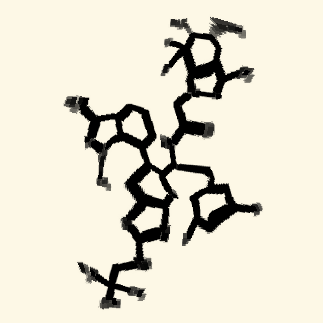 C[C@@H]1c2c(C(F)(F)F)nn(CC(=O)N[C@@H](Cc3cc(F)cc(F)c3)c3nc4nc(NCC(C)(C)O)sc4cc3-c3cccc4c(N)nn(C)c34)c2C(F)(F)[C@@H]1C